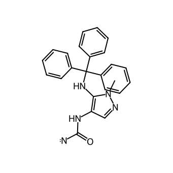 Cn1ncc(NC([N])=O)c1NC(c1ccccc1)(c1ccccc1)c1ccccc1